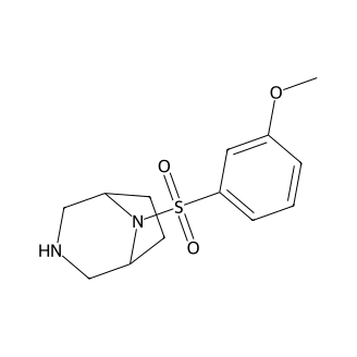 COc1cccc(S(=O)(=O)N2C3CCC2CNC3)c1